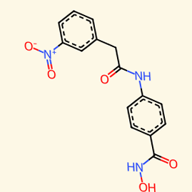 O=C(Cc1cccc([N+](=O)[O-])c1)Nc1ccc(C(=O)NO)cc1